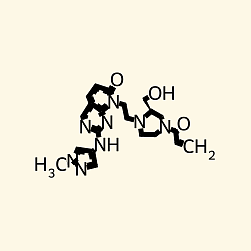 C=CC(=O)N1CCN(CCn2c(=O)ccc3cnc(Nc4cnn(C)c4)nc32)[C@@H](CO)C1